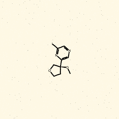 CO[C@@]1(c2cncc(I)n2)CCOC1